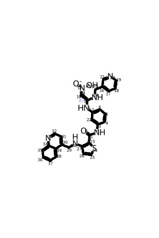 O=C(Nc1cccc(N/C(=C/[NH+]([O-])O)NCc2cccnc2)c1)c1sccc1NCc1ccnc2ccccc12